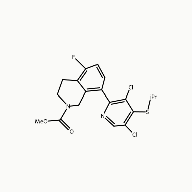 COC(=O)N1CCc2c(F)ccc(-c3ncc(Cl)c(SC(C)C)c3Cl)c2C1